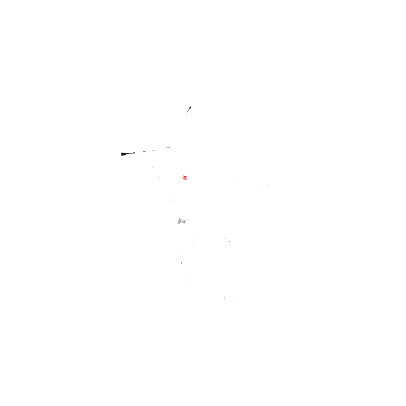 CC1OCc2c1nc(N1CCC1C)nc2N1C[C@H]2C[C@@H](C1)C2CC(=O)O